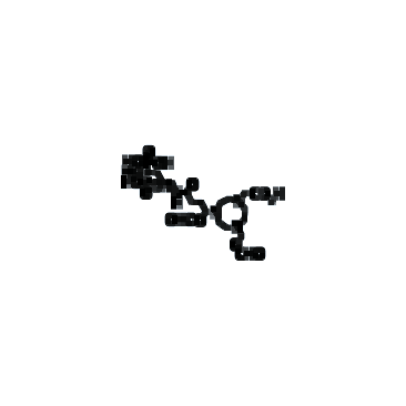 O=COCN1CCN(CC(=O)O)CCN(C(CCC(=O)NCCCC(O)(P(=O)(O)O)P(=O)(O)O)OC=O)CC1